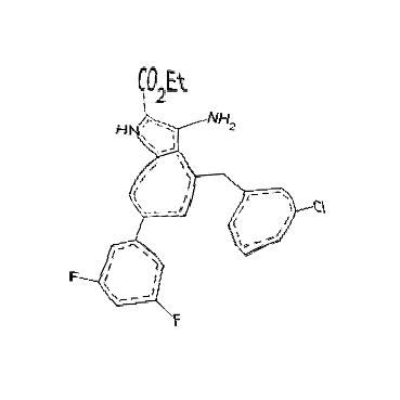 CCOC(=O)c1[nH]c2cc(-c3cc(F)cc(F)c3)cc(Cc3cccc(Cl)c3)c2c1N